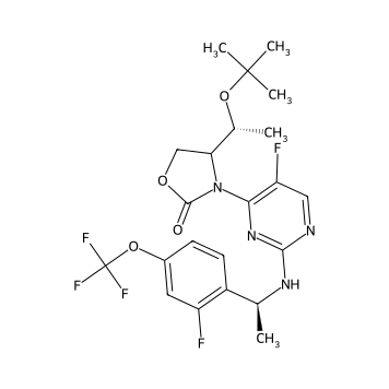 C[C@H](Nc1ncc(F)c(N2C(=O)OCC2[C@@H](C)OC(C)(C)C)n1)c1ccc(OC(F)(F)F)cc1F